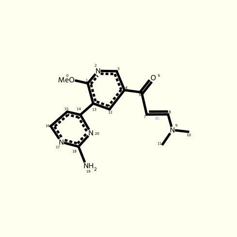 COc1ncc(C(=O)/C=C/N(C)C)cc1-c1ccnc(N)n1